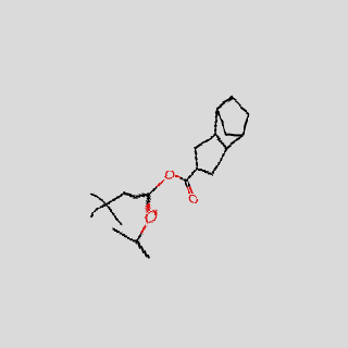 CC(C)OC(CC(C)(C)C)OC(=O)C1CC2C3CCC(C3)C2C1